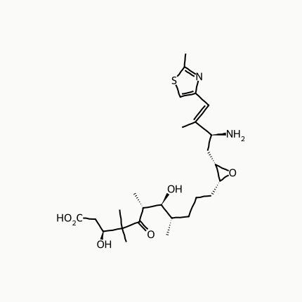 C/C(=C\c1csc(C)n1)[C@@H](N)C[C@@H]1O[C@@H]1CCC[C@H](C)[C@H](O)[C@@H](C)C(=O)C(C)(C)[C@@H](O)CC(=O)O